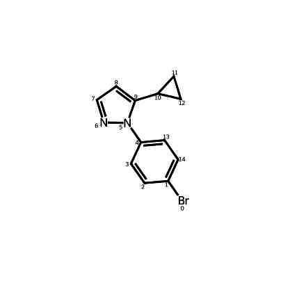 Brc1ccc(-n2nccc2C2CC2)cc1